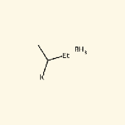 B.CC[CH](C)[K]